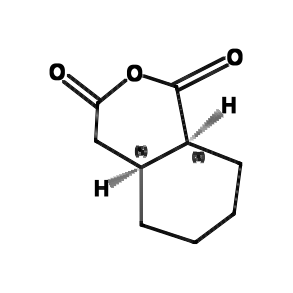 O=C1C[C@@H]2CCCC[C@@H]2C(=O)O1